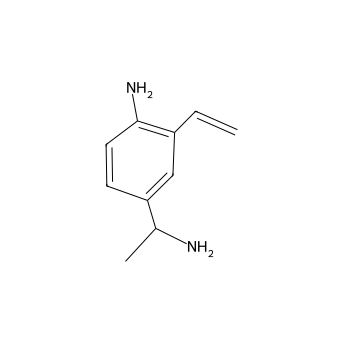 C=Cc1cc(C(C)N)ccc1N